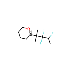 CC(F)C(F)(F)C(C)(C)[SiH]1CCCCO1